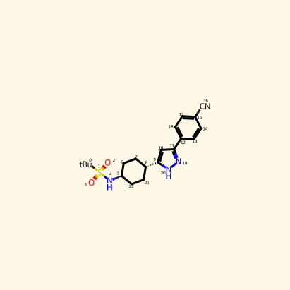 CC(C)(C)S(=O)(=O)N[C@H]1CC[C@H](c2cc(-c3ccc(C#N)cc3)n[nH]2)CC1